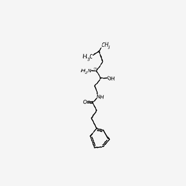 CC(C)C[C@H](N)C(O)CNC(=O)CCc1ccccc1